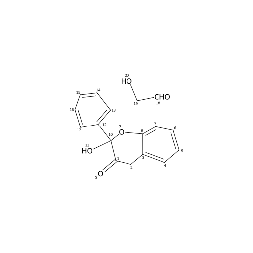 O=C1Cc2ccccc2OC1(O)c1ccccc1.O=CCO